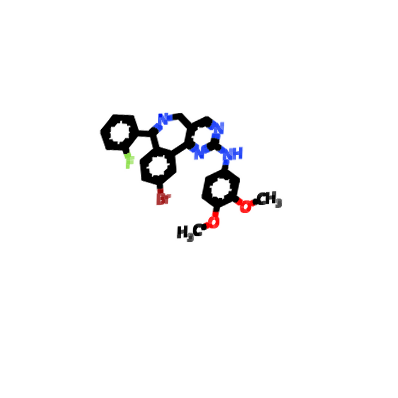 COc1ccc(Nc2ncc3c(n2)-c2cc(Br)ccc2C(c2ccccc2F)=NC3)cc1OC